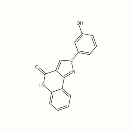 O=c1[nH]c2ccccc2c2nn(-c3cccc(O)c3)cc12